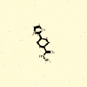 NNC(=O)C1CCC(c2nccs2)CC1